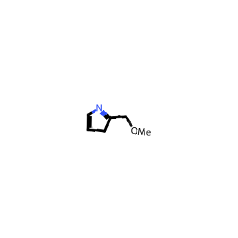 COCC1=NC=CC1